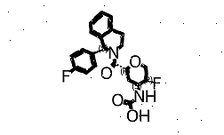 O=C(O)N[C@H]1C[C@H](C(=O)N2CCc3ccccc3[C@@H]2c2ccc(F)cc2)OC[C@@H]1F